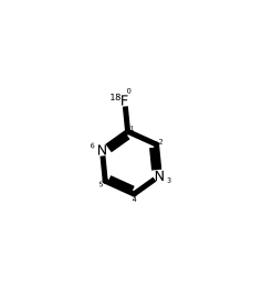 [18F]c1cnccn1